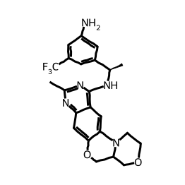 Cc1nc(N[C@H](C)c2cc(N)cc(C(F)(F)F)c2)c2cc3c(cc2n1)OCC1COCCN31